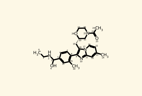 CCNC(O)c1ccc(-c2nc3cc(C)ccn3c2C[C@H]2CN(C(C)=O)CCO2)c(C)c1